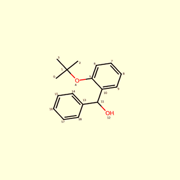 CC(C)(C)Oc1ccccc1C(O)c1ccccc1